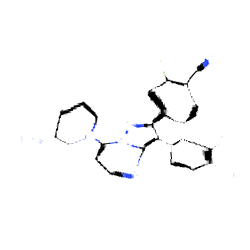 N#Cc1ccc(-c2nn3c(N4CCC[C@@H](N)C4)ccnc3c2-c2ccc(O)c(F)c2)cc1F